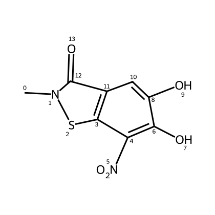 Cn1sc2c([N+](=O)[O-])c(O)c(O)cc2c1=O